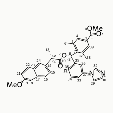 COC(=O)c1cc(C)c([C@@H](OC(=O)[C@@H](C)c2ccc3cc(OC)ccc3c2)c2cc(-n3ccnc3)ccc2C)c(C)c1